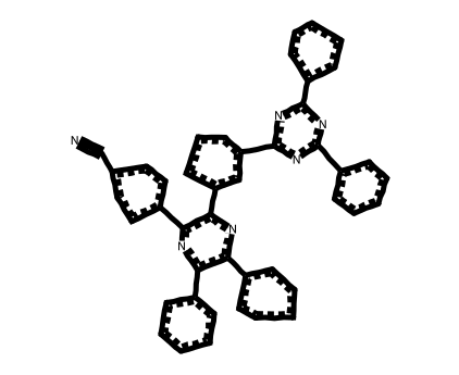 N#Cc1ccc(-c2nc(-c3ccccc3)c(-c3ccccc3)nc2-c2cccc(-c3nc(-c4ccccc4)nc(-c4ccccc4)n3)c2)cc1